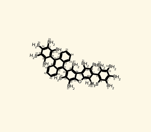 Bc1c(B)c(B)c(-c2c(B)c(B)c3c(oc4c(B)c(B)c(-c5c6ccccc6c(-c6c(B)c(B)c(B)c(B)c6B)c6ccccc56)c(B)c43)c2B)c(B)c1B